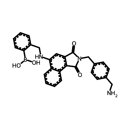 NCc1ccc(CN2C(=O)c3cc(NCc4ccccc4B(O)O)c4ccccc4c3C2=O)cc1